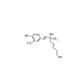 N#Cc1ccc(/C=C/C(O)(CSCCCO)C(F)(F)F)cc1C(F)(F)F